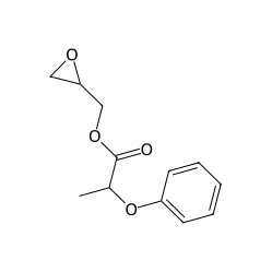 CC(Oc1ccccc1)C(=O)OCC1CO1